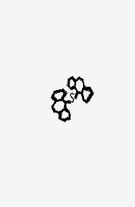 C(SC=C1c2ccccc2CCc2ccccc21)=C1c2ccccc2CCc2ccccc21